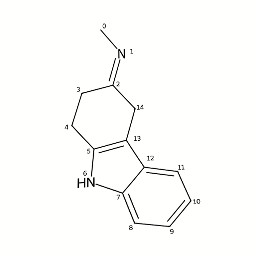 C/N=C1\CCc2[nH]c3ccccc3c2C1